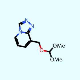 COC(OC)OCc1cccn2cnnc12